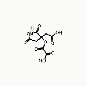 O=C(O)CC(CC(=O)O)(OC(=O)C(=O)O)C(=O)O